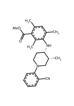 COC(=O)c1c(C)cc(C)c(N[C@H]2CCN(c3ccccc3C#N)C[C@H]2C)c1C